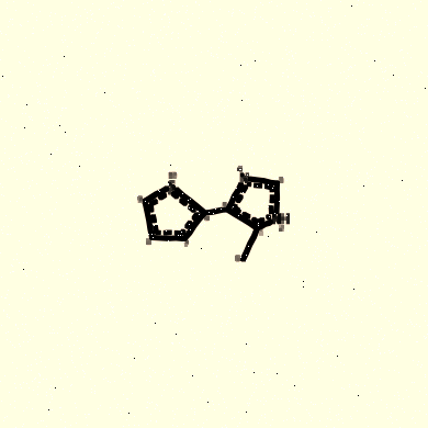 Cc1[nH]cnc1-c1cccs1